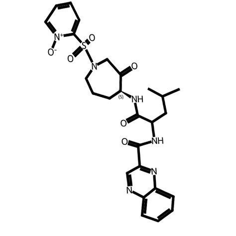 CC(C)CC(NC(=O)c1cnc2ccccc2n1)C(=O)N[C@H]1CCCN(S(=O)(=O)c2cccc[n+]2[O-])CC1=O